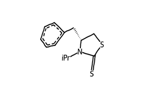 CC(C)N1C(=S)SC[C@H]1Cc1ccccc1